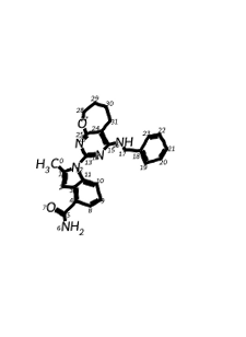 Cc1cc2c(C(N)=O)cccc2n1-c1nc(NCc2ccccc2)c2c(n1)OCCCC2